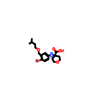 CC(C)CCOCc1cc(NC2(C(=O)O)CCOCC2)ccc1Br